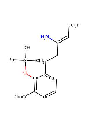 CCOC(=O)/C=C(\N)CCc1cccc(OC)c1O[Si](C)(C)C(C)(C)C